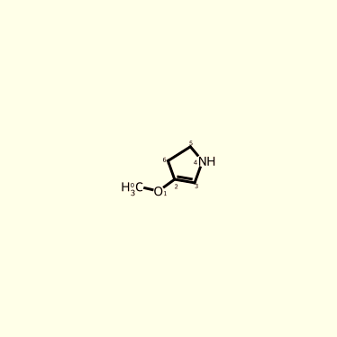 COC1=CNC[CH]1